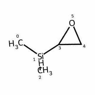 C[SiH](C)C1CO1